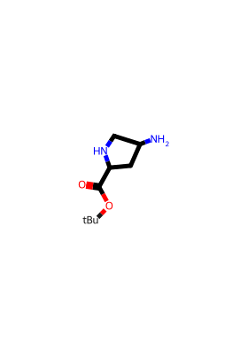 CC(C)(C)OC(=O)C1CC(N)CN1